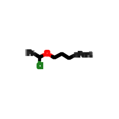 CCCCCCCCOC(Cl)C(C)C